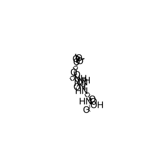 C#COP(=O)(OC#C)OCc1ccc(OC(=O)c2ccccc2Nc2nc(=O)c3nc(CNc4ccc(C(=O)N[C@@H](CCC(C)=O)C(=O)O)cc4)cnc3[nH]2)cc1